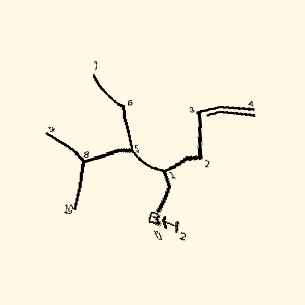 BC(CC=C)C(CC)C(C)C